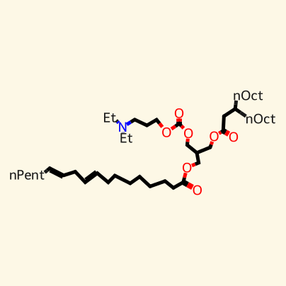 CCCCCC=CCC=CCCCCCCCC(=O)OCC(COC(=O)CC(CCCCCCCC)CCCCCCCC)COC(=O)OCCCN(CC)CC